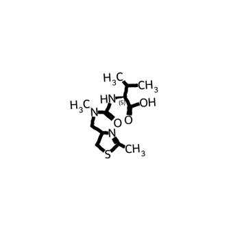 CC1=NC(CN(C)C(=O)N[C@H](C(=O)O)C(C)C)CS1